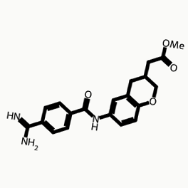 COC(=O)CC1COc2ccc(NC(=O)c3ccc(C(=N)N)cc3)cc2C1